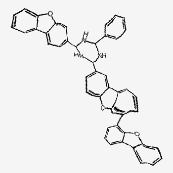 c1ccc(C2NC(c3ccc4c(c3)oc3ccccc34)NC(c3ccc4oc5c(-c6cccc7c6oc6ccccc67)cccc5c4c3)N2)cc1